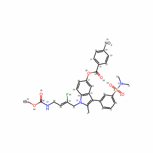 Cc1c(-c2cccc(S(=O)(=O)N(C)C)c2)c2cc(OC(=O)c3ccc([N+](=O)[O-])cc3)ccc2n1C/C(F)=C/CNC(=O)OC(C)(C)C